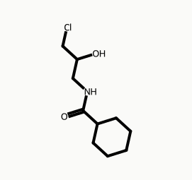 O=C(NCC(O)CCl)C1CCCCC1